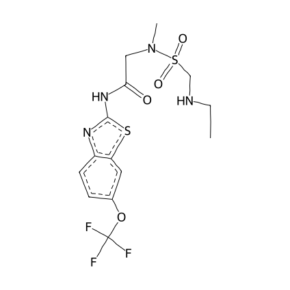 CCNCS(=O)(=O)N(C)CC(=O)Nc1nc2ccc(OC(F)(F)F)cc2s1